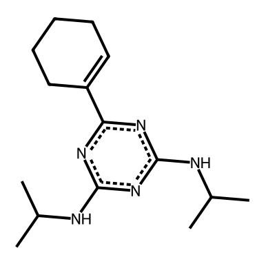 CC(C)Nc1nc(NC(C)C)nc(C2=CCCCC2)n1